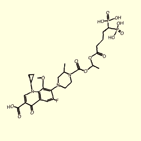 COc1c(N2CCN(C(=O)OC(C)OC(=O)CCCC(P(=O)(O)O)P(=O)(O)O)C(C)C2)c(F)cc2c(=O)c(C(=O)O)cn(C3CC3)c12